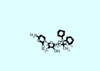 C=C1C(O)[C@@H](CO[Si](c2ccccc2)(c2ccccc2)C(C)(C)C)O[C@H]1n1ccc(N)nc1=O